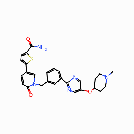 CN1CCC(Oc2cnc(-c3cccc(Cn4cc(-c5ccc(C(N)=O)s5)ccc4=O)c3)nc2)CC1